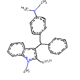 CCOC(=O)c1c(C(c2ccccc2)c2ccc(N(C)C)cc2)c2ccccc2n1C